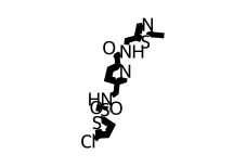 Cc1ncc(CNC(=O)c2ccc(CNS(=O)(=O)c3ccc(Cl)s3)cn2)s1